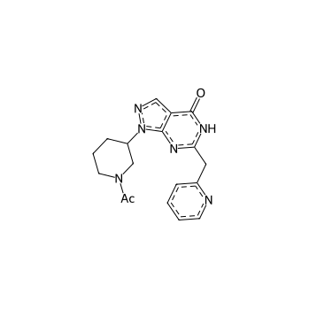 CC(=O)N1CCCC(n2ncc3c(=O)[nH]c(Cc4ccccn4)nc32)C1